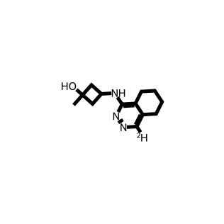 [2H]c1nnc(NC2CC(C)(O)C2)c2c1CCCC2